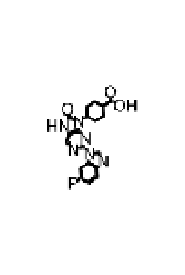 O=C(O)C1CCC(n2c(=O)[nH]c3cnc(-n4cnc5ccc(F)cc54)nc32)CC1